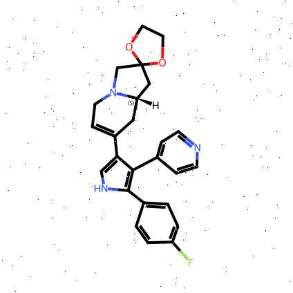 Fc1ccc(-c2[nH]cc(C3=CCN4CC5(C[C@@H]4C3)OCCO5)c2-c2ccncc2)cc1